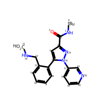 CC(C)(C)NC(=O)c1cc(-c2ccccc2CNC(=O)O)n(-c2cccnc2)n1